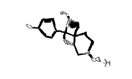 CC(C)N1CC2(CCN(C(=O)O)CC2)C1(c1ccc(Cl)cc1)C(C)(C)C